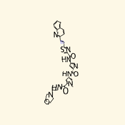 Cn1cc(NC(=O)c2cc(NC(=O)c3csc(/C=C/c4ccc5ccccc5n4)n3)cn2C)cc1C(=O)NCCN1CCOCC1